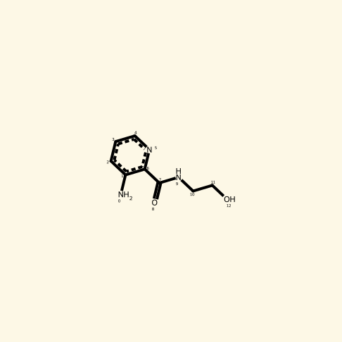 Nc1cccnc1C(=O)NCCO